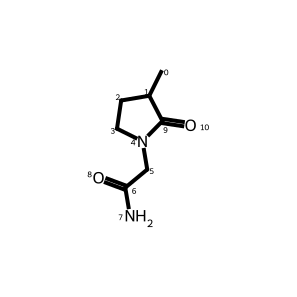 CC1CCN(CC(N)=O)C1=O